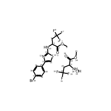 COC(=O)C(CC(F)(F)F)Nc1nc(-c2ccc(Br)cc2)cs1.COC(=O)C(N)CC(F)(F)F.Cl